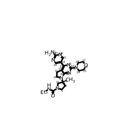 CCNC(=O)N1CC[C@@](C)(N2CCc3c(-c4cnc(N)nc4)nc(N4CCOCC4)nc32)C1